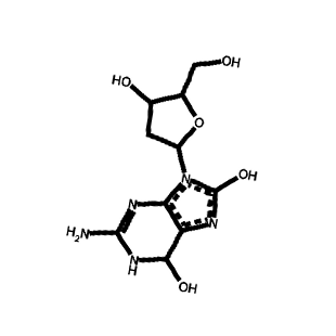 NC1=Nc2c(nc(O)n2C2CC(O)C(CO)O2)C(O)N1